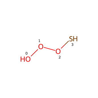 OOOS